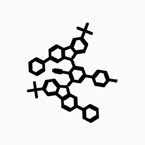 CC(C)(C)c1ccc2c(c1)c1ccc(-c3ccccc3)cc1n2-c1cc(-c2ccc(F)cc2)cc(-n2c3ccc(C(C)(C)C)cc3c3ccc(-c4ccccc4)cc32)c1C#N